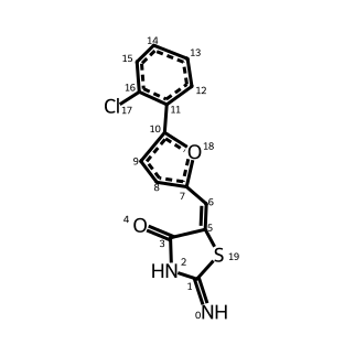 N=C1NC(=O)/C(=C\c2ccc(-c3ccccc3Cl)o2)S1